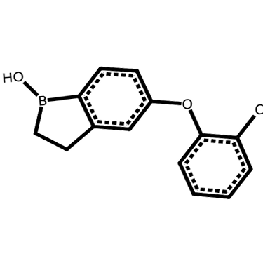 N#Cc1ccccc1Oc1ccc2c(c1)CCB2O